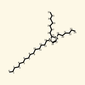 CCCCCCCCCCCCCCCN1C=CN(CCCCCC)C1CCCCCCC